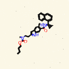 CCCCOC(=O)N(C)CCc1cc2cc(C)c(C(=O)NC3(c4cccc5ccccc45)CC3)cc2[nH]1